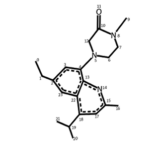 CCc1cc(N2CCN(C)C(=O)C2)c2nc(C)cc(C(C)C)c2c1